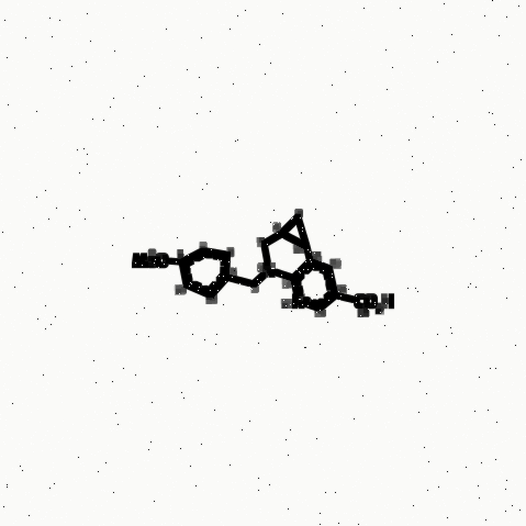 COc1ccc(CN2CC3CC3c3cc(C(=O)O)cnc32)cc1